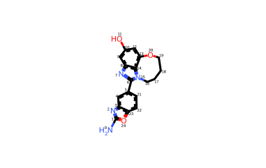 Nc1nc2cc(-c3nc4cc(O)cc5c4n3CCCCO5)ccc2o1